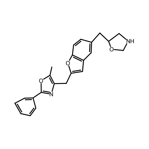 Cc1oc(-c2ccccc2)nc1Cc1cc2cc(CC3CNCO3)ccc2o1